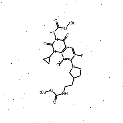 CC(C)(C)OC(=O)NCCC1CCN(c2c(F)cc3c(=O)n(NC(=O)OC(C)(C)C)c(=O)n(C4CC4)c3c2Cl)C1